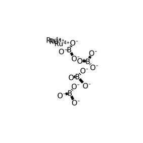 [O-]B([O-])[O-].[O-]B([O-])[O-].[O-]B([O-])[O-].[O-]B([O-])[O-].[Ru+4].[Ru+4].[Ru+4]